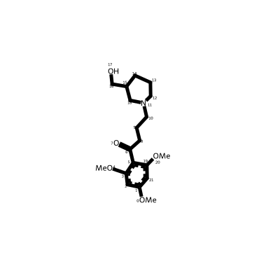 COc1cc(OC)c(C(=O)CCCN2CCCC(CO)C2)c(OC)c1